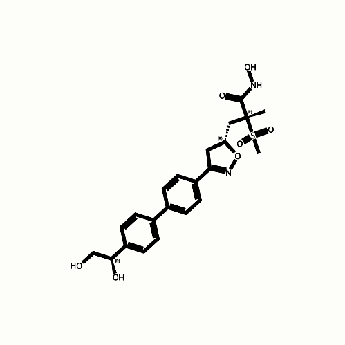 C[C@@](C[C@H]1CC(c2ccc(-c3ccc([C@@H](O)CO)cc3)cc2)=NO1)(C(=O)NO)S(C)(=O)=O